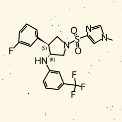 Cn1cnc(S(=O)(=O)N2C[C@H](Nc3cccc(C(F)(F)F)c3)[C@@H](c3cccc(F)c3)C2)c1